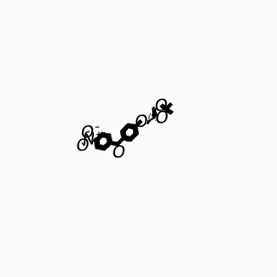 CC1(C)OC[C@H](COc2ccc(C(=O)c3ccc([N+](=O)[O-])cc3)cc2)O1